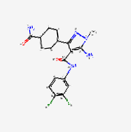 Cn1nc(C2CCC(C(N)=O)CC2)c(C(=O)Nc2ccc(F)c(Cl)c2)c1N